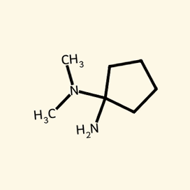 CN(C)C1(N)CCCC1